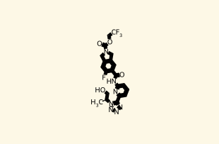 C[C@H](CO)n1nnnc1-c1cccc(NC(=O)c2cc3c(cc2F)CN(C(=O)OCC(F)(F)F)C3)n1